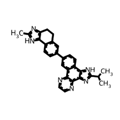 Cc1nc2c([nH]1)-c1ccc(-c3ccc4c(c3)c3nccnc3c3nc(C(C)C)[nH]c43)cc1CC2